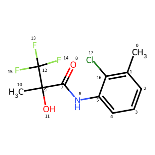 Cc1cccc(NC(=O)C(C)(O)C(F)(F)F)c1Cl